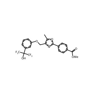 COC(=O)c1ccc(-c2nc(COc3cccc(C(O)(C(F)(F)F)C(F)(F)F)c3)c(C)o2)cc1